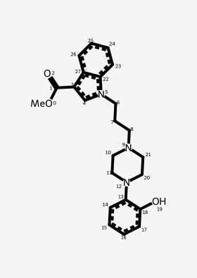 COC(=O)c1cn(CCCN2CCN(c3ccccc3O)CC2)c2ccccc12